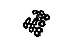 O=P1(c2ccccc2)c2ccccc2-c2ccc3c4ccccc4n(-c4ccc5c(-c6cccc7ccccc67)c6ccccc6c(-c6cccc7ccccc67)c5c4)c3c21